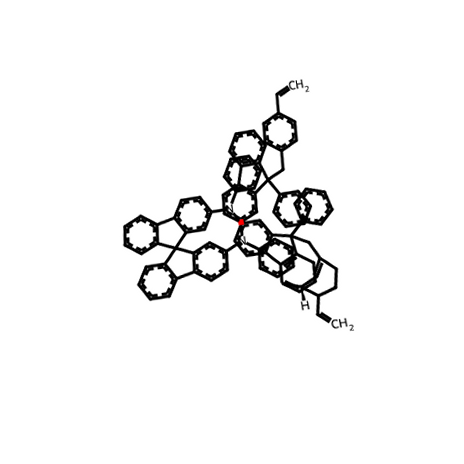 C=Cc1ccc(CC2(c3ccccc3)c3ccccc3-c3ccc(N(c4ccccc4)c4ccc5c(c4)C4(c6ccccc6-c6ccc(N(c7ccccc7)c7ccc8c(c7)C7(c9ccccc9)CC9=C[C@@H](C%10=CCCC7=C%108)C(C=C)CC9)cc64)c4ccccc4-5)cc32)cc1